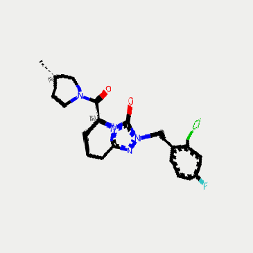 C[C@H]1CCN(C(=O)[C@@H]2CCCc3nn(Cc4ccc(F)cc4Cl)c(=O)n32)C1